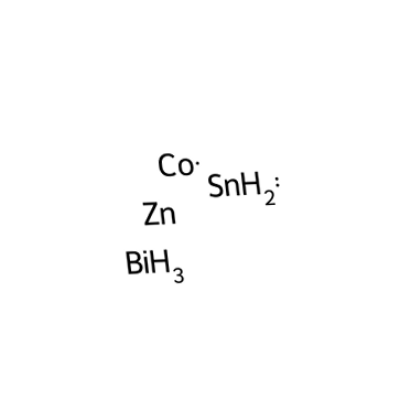 [BiH3].[Co].[SnH2].[Zn]